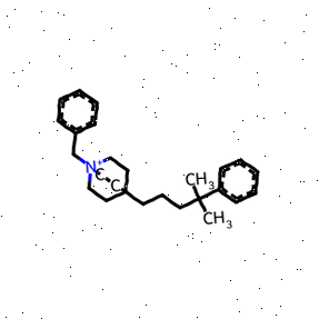 CC(C)(CCCC12CC[N+](Cc3ccccc3)(CC1)CC2)c1ccccc1